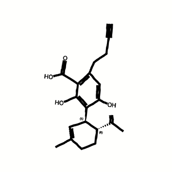 C#CCCc1cc(O)c([C@@H]2C=C(C)CC[C@H]2C(=C)C)c(O)c1C(=O)O